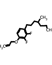 C=CCOc1ccc(CCCC(C)CCC)c(F)c1F